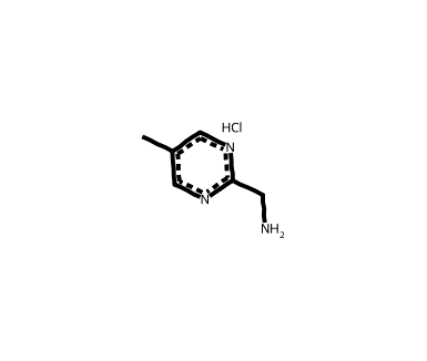 Cc1cnc(CN)nc1.Cl